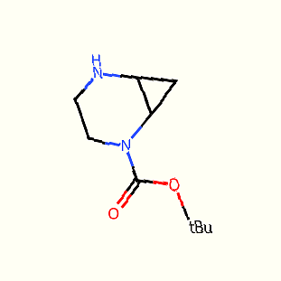 CC(C)(C)OC(=O)N1CCNC2CC21